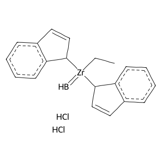 Cl.Cl.[BH]=[Zr]([CH2]C)([CH]1C=Cc2ccccc21)[CH]1C=Cc2ccccc21